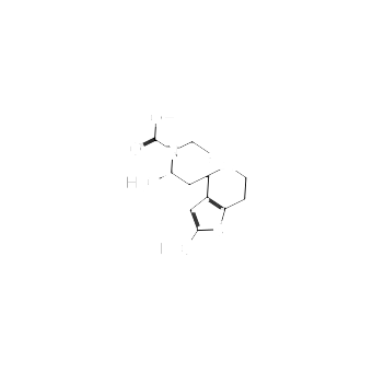 Cc1cc2c(s1)CCO[C@@]21CCN(C(=O)O)[C@H](C)C1